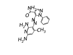 Cc1cc(N)nc(N)c1/N=N/c1c(C(N)=O)cnn1-c1ccccc1